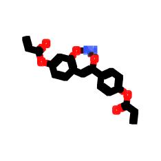 C=CC(=O)Oc1ccc(-c2cc3ccc(OC(=O)C=C)cc3o[nH]o2)cc1